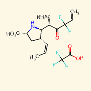 C=CC(F)(F)C(=O)[C@H](NC(C)=O)[C@@H]1N[C@@H](C(=O)O)C[C@H]1/C=C\C.O=C(O)C(F)(F)F